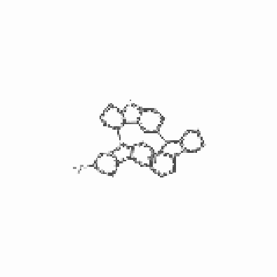 Cc1ccc2c3ccccc3n(-c3cccc4sc5ccc(-n6c7ccccc7c7ccccc76)cc5c34)c2c1